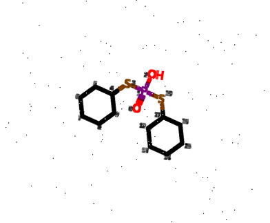 O=P(O)(SC1CCCCC1)SC1CCCCC1